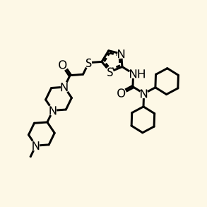 CN1CCC(N2CCN(C(=O)CSc3cnc(NC(=O)N(C4CCCCC4)C4CCCCC4)s3)CC2)CC1